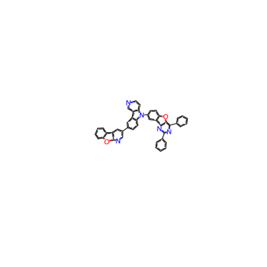 c1ccc(-c2nc(-c3ccccc3)c3oc4ccc(-n5c6ccncc6c6cc(-c7cnc8oc9ccccc9c8c7)ccc65)cc4c3n2)cc1